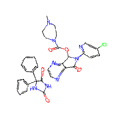 CN1CCN(C(=O)OC2c3nccnc3C(=O)N2c2ccc(Cl)cn2)CC1.O=C1NC(=O)C(c2ccccc2)(c2ccccc2)N1